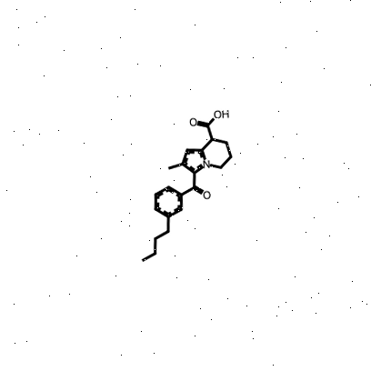 CCCCc1cccc(C(=O)c2c(C)cc3n2CCCC3C(=O)O)c1